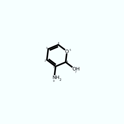 NC1=CC=COC1O